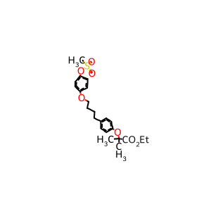 CCOC(=O)C(C)(C)Oc1ccc(CCCCOc2ccc(OS(C)(=O)=O)cc2)cc1